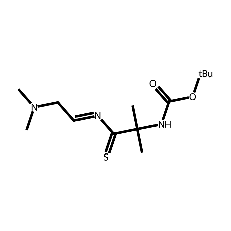 CN(C)CC=NC(=S)C(C)(C)NC(=O)OC(C)(C)C